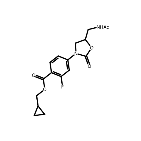 CC(=O)NCC1CN(c2ccc(C(=O)OCC3CC3)c(F)c2)C(=O)O1